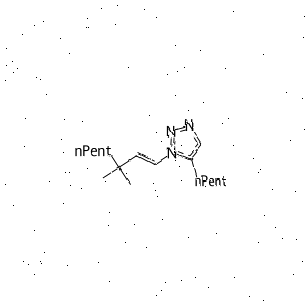 CCCCCc1cnnn1/C=C/C(C)(C)CCCCC